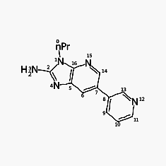 CCCn1c(N)nc2cc(-c3cccnc3)cnc21